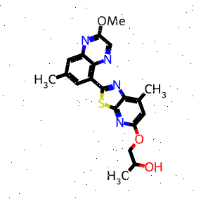 COc1cnc2c(-c3nc4c(C)cc(OCC(C)O)nc4s3)cc(C)cc2n1